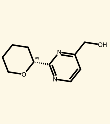 OCc1ccnc([C@H]2CCCCO2)n1